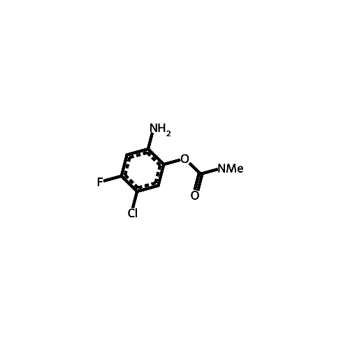 CNC(=O)Oc1cc(Cl)c(F)cc1N